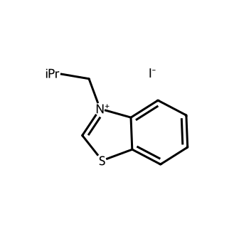 CC(C)C[n+]1csc2ccccc21.[I-]